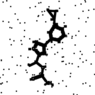 CC(OC(N)=O)c1nc(-c2ccnc(C3CC3)c2)no1